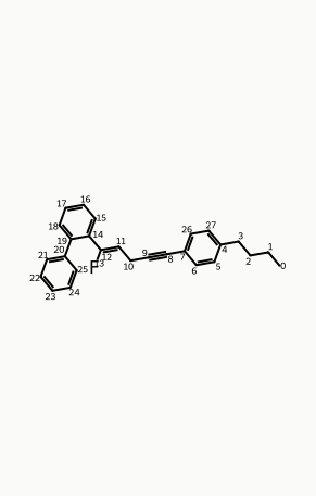 CCCCc1ccc(C#CCC=C(F)c2ccccc2-c2ccccc2)cc1